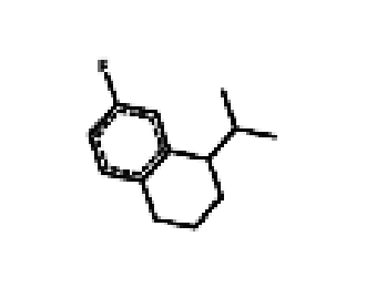 CC(C)C1CCCc2ccc(F)cc21